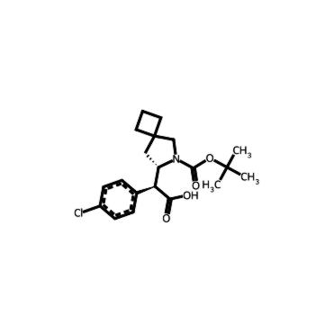 CC(C)(C)OC(=O)N1CC2(CCC2)C[C@H]1[C@@H](C(=O)O)c1ccc(Cl)cc1